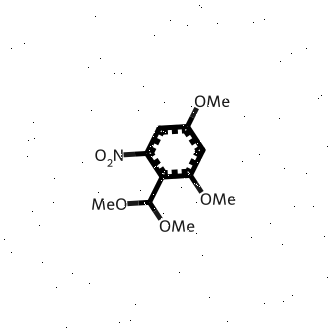 COc1cc(OC)c(C(OC)OC)c([N+](=O)[O-])c1